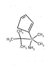 C[C](C)(C)[Ti]([CH3])([CH3])([NH2])[C]1=CC=CC1